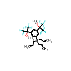 C=CC[B-](CC=C)(CC=C)c1cc(C(OC)(C(F)(F)F)C(F)(F)F)cc(C(OC)(C(F)(F)F)C(F)(F)F)c1